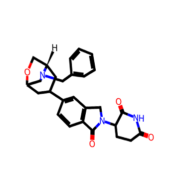 O=C1CCC(N2Cc3cc(C4CC5CN(Cc6ccccc6)[C@H](CO5)C4)ccc3C2=O)C(=O)N1